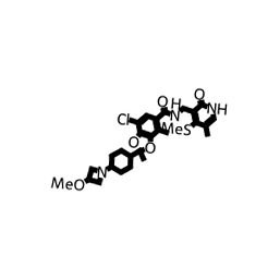 COC1CN(C2CCC(C3(C)Oc4c(Cl)cc(C(=O)NCc5c(SC)c(C)c[nH]c5=O)c(C)c4O3)CC2)C1